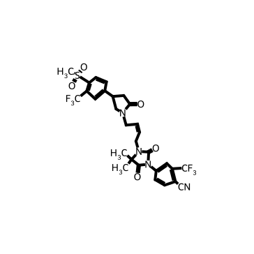 CC1(C)C(=O)N(c2ccc(C#N)c(C(F)(F)F)c2)C(=O)N1C/C=C\CN1CC(c2ccc(S(C)(=O)=O)c(C(F)(F)F)c2)CC1=O